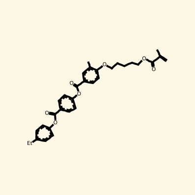 C=C(C)C(=O)OCCCCCOc1ccc(C(=O)Oc2ccc(C(=O)Oc3ccc(CC)cc3)cc2)cc1C